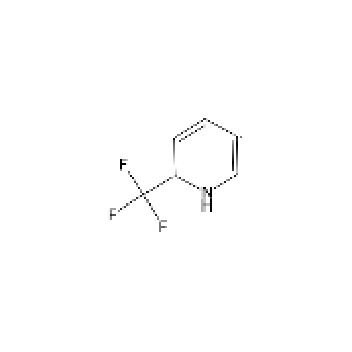 FC(F)(F)C1C=C[C]=CN1